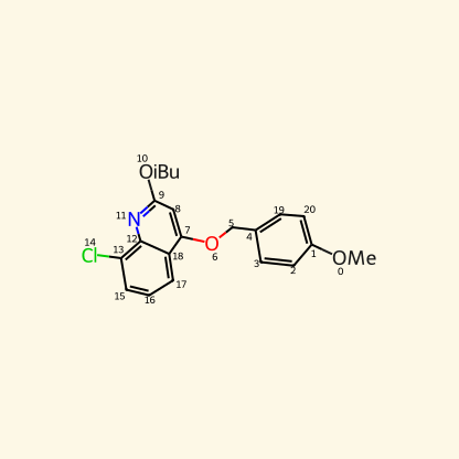 COc1ccc(COc2cc(OCC(C)C)nc3c(Cl)cccc23)cc1